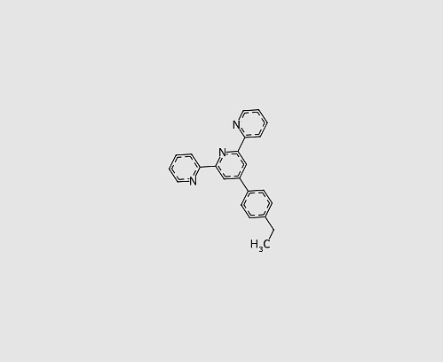 CCc1ccc(-c2cc(-c3ccccn3)nc(-c3ccccn3)c2)cc1